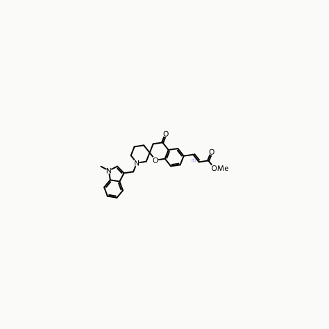 COC(=O)/C=C/c1ccc2c(c1)C(=O)CC1(CCCN(Cc3cn(C)c4ccccc34)C1)O2